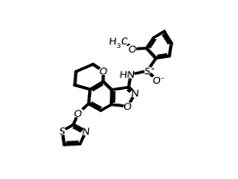 COc1ccccc1[S+]([O-])Nc1noc2cc(Oc3nccs3)c3c(c12)OCCC3